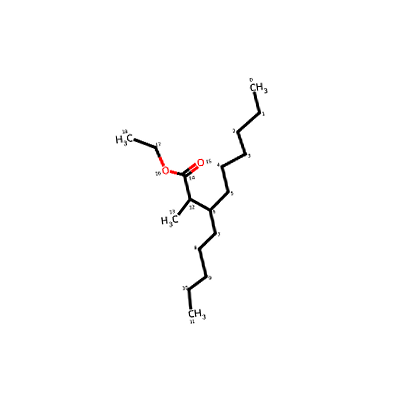 CCCCCCC(CCCCC)C(C)C(=O)OCC